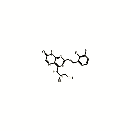 CC[C@H](CO)Nc1nc(SCc2cccc(F)c2F)nc2[nH]c(=O)cnc12